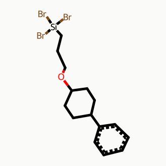 Br[Si](Br)(Br)CCCOC1CCC(c2ccccc2)CC1